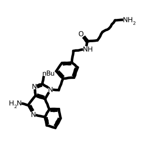 CCCCc1nc2c(N)nc3ccccc3c2n1Cc1ccc(CNC(=O)CCCCN)cc1